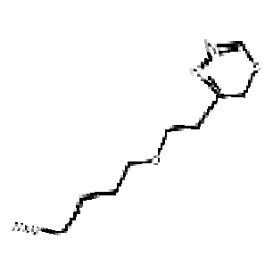 COCCCCOCCC1=NN=CSC1